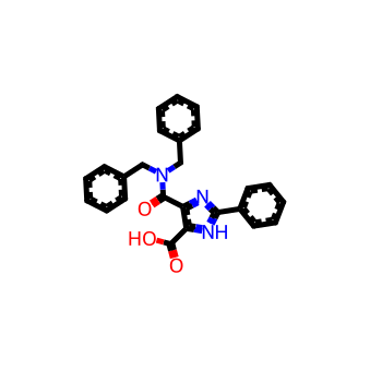 O=C(O)c1[nH]c(-c2ccccc2)nc1C(=O)N(Cc1ccccc1)Cc1ccccc1